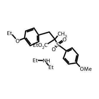 CCNCC.CCOC(=O)C(C)(Cc1ccc(OCC)cc1)S(=O)(=O)c1ccc(OC)cc1